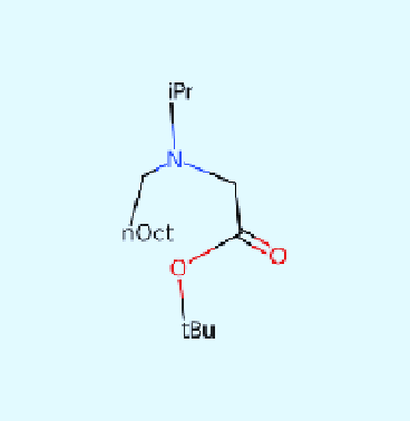 [CH2]C(C)N(CCCCCCCCC)CC(=O)OC(C)(C)C